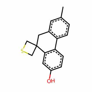 Cc1ccc2c(c1)CC1(CSC1)c1cc(O)ccc1-2